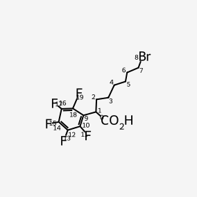 O=C(O)C(CCCCCCBr)c1c(F)c(F)c(F)c(F)c1F